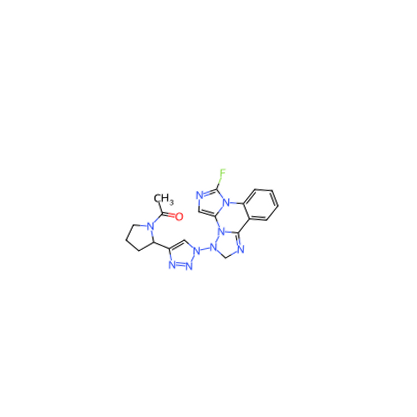 CC(=O)N1CCCC1c1cn(N2CN=C3c4ccccc4-n4c(cnc4F)N32)nn1